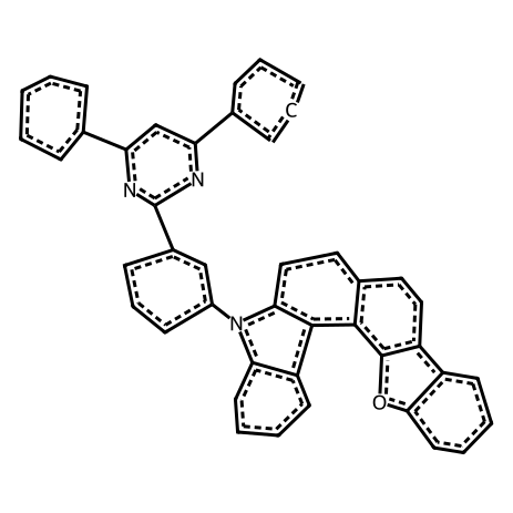 c1ccc(-c2cc(-c3ccccc3)nc(-c3cccc(-n4c5ccccc5c5c6c(ccc7c8ccccc8oc76)ccc54)c3)n2)cc1